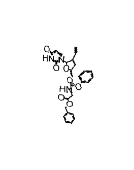 C#CC1C/C(=C/OP(NCC(=O)OCc2ccccc2)Oc2ccccc2)OC1n1ccc(=O)[nH]c1=O